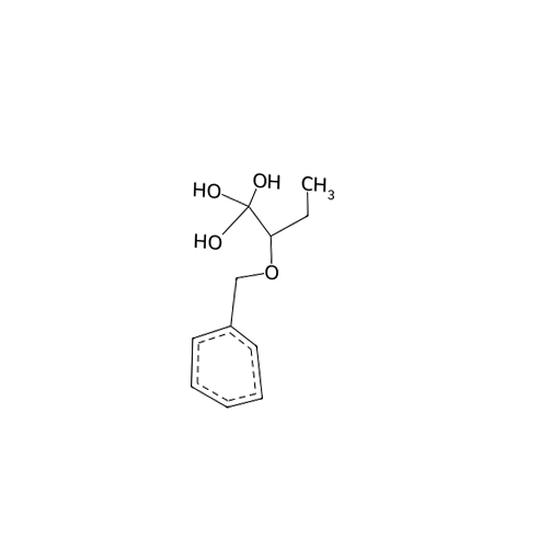 CCC(OCc1ccccc1)C(O)(O)O